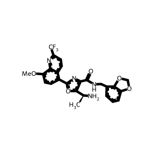 COc1ccc(-c2nc(C(=O)NCc3cccc4c3OCO4)c([C@H](C)N)o2)c2ccc(C(F)(F)F)nc12